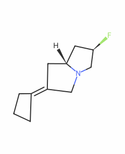 F[C@@H]1C[C@H]2CC(=C3CCC3)CN2C1